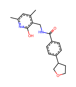 Cc1cc(C)c(CNC(=O)c2ccc(C3CCOC3)cc2)c(O)n1